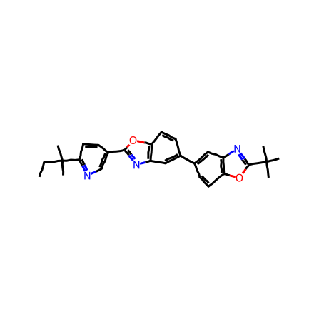 CCC(C)(C)c1ccc(-c2nc3cc(-c4ccc5oc(C(C)(C)C)nc5c4)ccc3o2)cn1